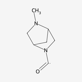 CN1CC2CC1CN2[C]=O